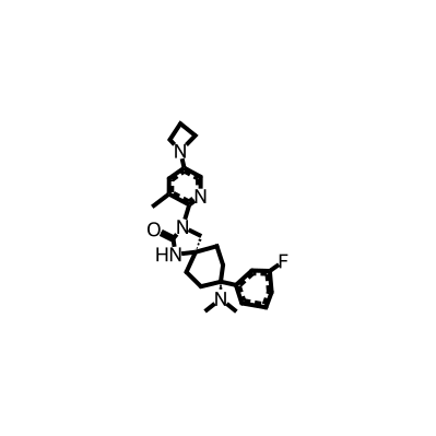 Cc1cc(N2CCC2)cnc1N1C[C@]2(CC[C@@](c3cccc(F)c3)(N(C)C)CC2)NC1=O